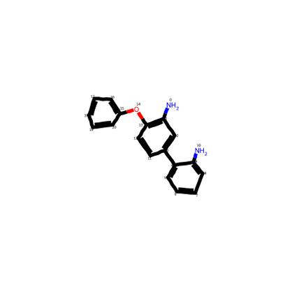 Nc1cc(-c2ccccc2N)ccc1Oc1ccccc1